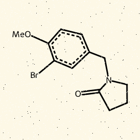 COc1ccc(CN2CCCC2=O)cc1Br